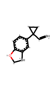 B=CC1(c2ccc3c(c2)BCO3)CC1